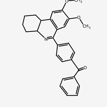 COc1cc2c(cc1OC)C1CCCCC1N=C2c1ccc(C(=O)c2ccccc2)cc1